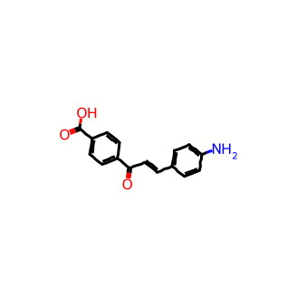 Nc1ccc(C=CC(=O)c2ccc(C(=O)O)cc2)cc1